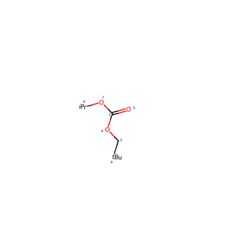 CC(C)OC(=O)OCC(C)(C)C